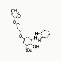 C=CC(=O)OOCCOc1cc(-n2nc3ccccc3n2)c(O)c(C(C)(C)C)c1